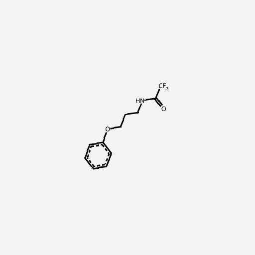 O=C(NCCCOc1cc[c]cc1)C(F)(F)F